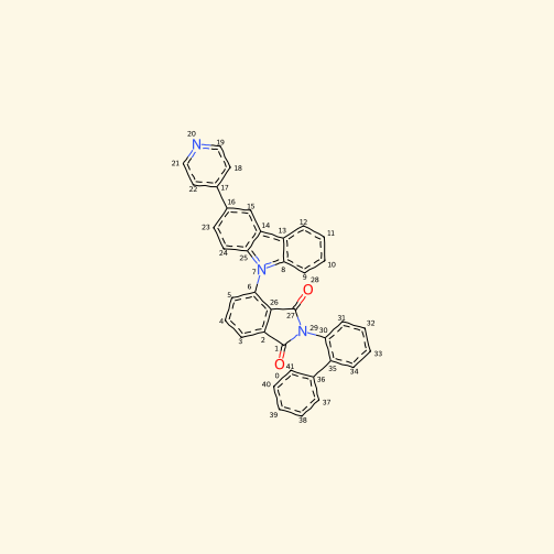 O=C1c2cccc(-n3c4ccccc4c4cc(-c5ccncc5)ccc43)c2C(=O)N1c1ccccc1-c1ccccc1